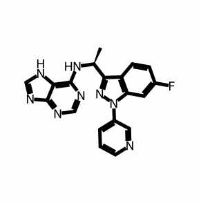 C[C@H](Nc1ncnc2nc[nH]c12)c1nn(-c2cccnc2)c2cc(F)ccc12